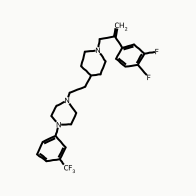 C=C(CN1CCC(CCN2CCN(c3cccc(C(F)(F)F)c3)CC2)CC1)c1ccc(F)c(F)c1